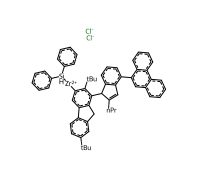 CCCC1=Cc2c(-c3cc4ccccc4c4ccccc34)cccc2C1c1c2c(c[c]([Zr+2][SiH](c3ccccc3)c3ccccc3)c1C(C)(C)C)-c1ccc(C(C)(C)C)cc1C2.[Cl-].[Cl-]